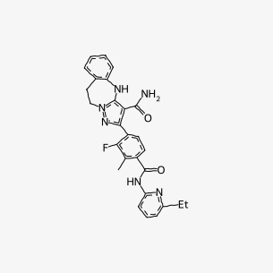 CCc1cccc(NC(=O)c2ccc(-c3nn4c(c3C(N)=O)Nc3ccccc3CC4)c(F)c2C)n1